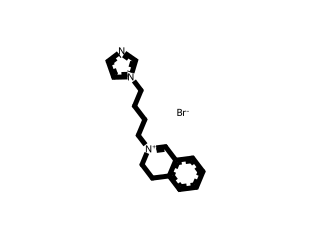 C1=[N+](CCCCn2ccnc2)CCc2ccccc21.[Br-]